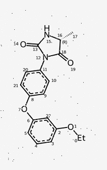 CCOc1cccc(Oc2ccc(N3C(=O)N[C@H](C)C3=O)cc2)c1